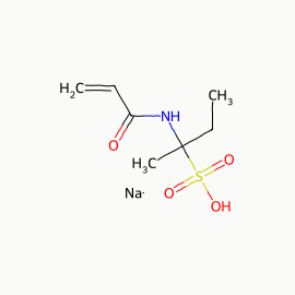 C=CC(=O)NC(C)(CC)S(=O)(=O)O.[Na]